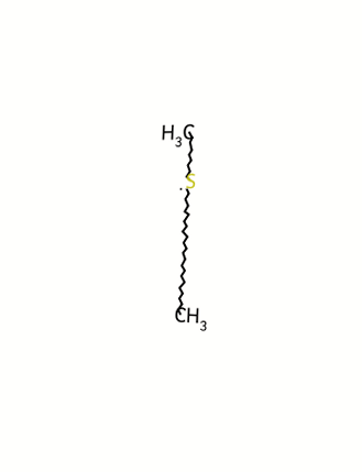 CCCCCCCCCCCCCCCCCCCCCCC[CH]SCCCCCCCCC